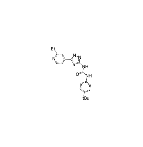 CCc1cc(-c2nnc(NC(=O)Nc3ccc(C(C)(C)C)cc3)s2)ccn1